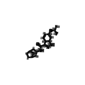 CN1C2CCC1CC(NC(=O)c1n[nH]c3cc(OC(F)F)ccc13)C2